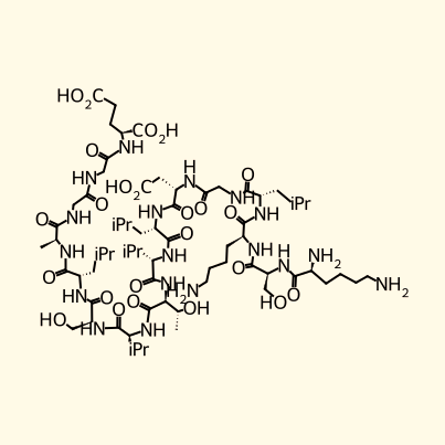 CC(C)C[C@H](NC(=O)[C@H](CCCCN)NC(=O)[C@H](CO)NC(=O)[C@@H](N)CCCCN)C(=O)NCC(=O)N[C@@H](CC(=O)O)C(=O)N[C@@H](CC(C)C)C(=O)N[C@H](C(=O)N[C@H](C(=O)N[C@H](C(=O)N[C@@H](CO)C(=O)N[C@@H](CC(C)C)C(=O)N[C@@H](C)C(=O)NCC(=O)NCC(=O)N[C@@H](CCC(=O)O)C(=O)O)C(C)C)[C@@H](C)O)C(C)C